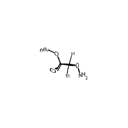 CCC(CC)(ON)C(=O)OC(C)(C)C